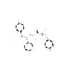 CC(c1ccc(Cl)cc1)C(CNC(=O)C(C)(C)Oc1ccc(Cl)cc1)c1cccnc1